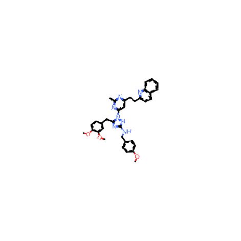 COc1ccc(CNc2nc(Cc3ccc(OC)c(OC)c3)n(-c3cc(CCc4ccc5ccccc5n4)nc(C)n3)n2)cc1